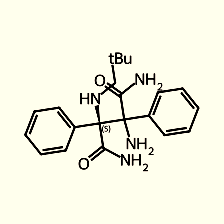 CC(C)(C)CN[C@@](C(N)=O)(c1ccccc1)C(N)(C(N)=O)c1ccccc1